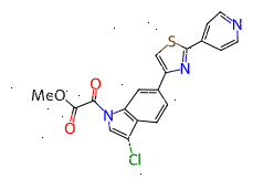 COC(=O)C(=O)n1cc(Cl)c2ccc(-c3csc(-c4ccncc4)n3)cc21